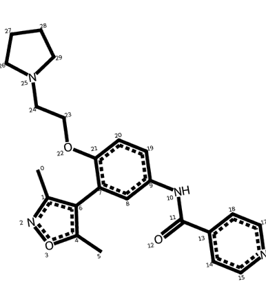 Cc1noc(C)c1-c1cc(NC(=O)c2ccncc2)ccc1OCCN1CCCC1